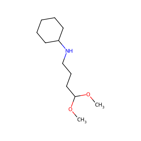 COC(CCCNC1CCCCC1)OC